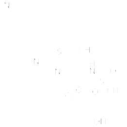 Cc1sc(N(Cc2cccc(OCCO)c2)c2ccc(C#N)cc2)nc1C(=O)NS(C)(=O)=O